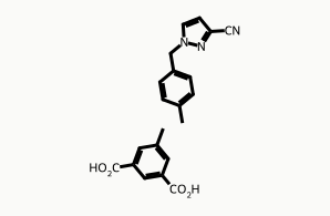 Cc1cc(C(=O)O)cc(C(=O)O)c1.Cc1ccc(Cn2ccc(C#N)n2)cc1